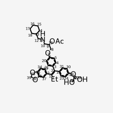 CC/C(=C(/c1ccc(OCC(CNCC2CCCCC2)OC(C)=O)cc1)c1ccc(OP(O)O)cc1)c1ccc2c(c1)OCO2